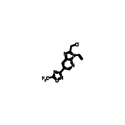 C=Cn1c(CCl)nc2cc(-c3noc(C(F)(F)F)n3)cnc21